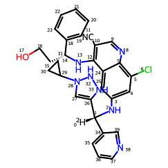 [2H][C@](Nc1cc(Cl)c2ncc(C#N)c(N[C@H](CCO)c3ccccc3)c2c1)(C1=CN(C2CC2)NN1)c1cccnc1